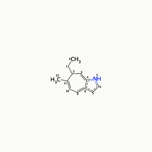 CCC1C=c2[nH]ccc2=CC=C1C